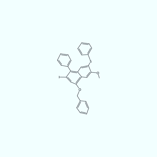 COc1cc2c(OCc3ccccc3)cc(I)c(-c3ccccc3)c2cc1Sc1ccccc1